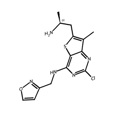 Cc1c(C[C@H](C)N)sc2c(NCc3ccon3)nc(Cl)nc12